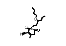 CCCCOC(CCC)CCN1C(=O)CC(C)=C(C#N)C1=O